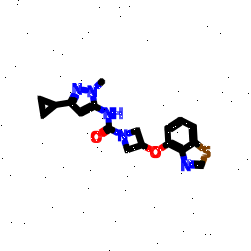 Cn1nc(C2CC2)cc1NC(=O)N1CC(Oc2cccc3scnc23)C1